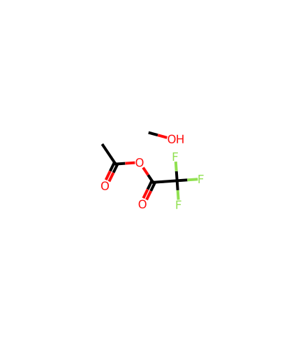 CC(=O)OC(=O)C(F)(F)F.CO